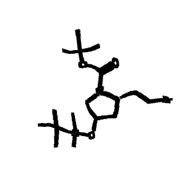 CC(C)(C)OC(=O)N1C[C@H](O[Si](C)(C)C(C)(C)C)C[C@H]1CCBr